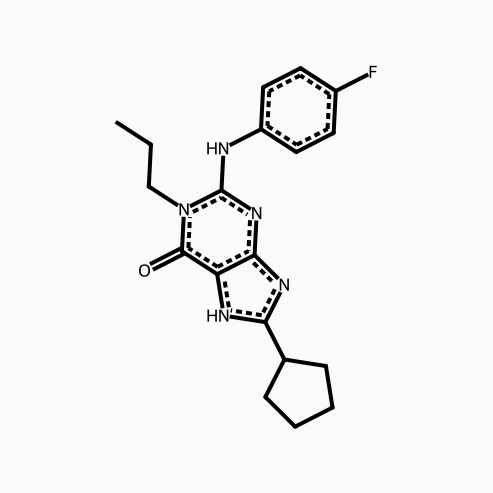 CCCn1c(Nc2ccc(F)cc2)nc2nc(C3CCCC3)[nH]c2c1=O